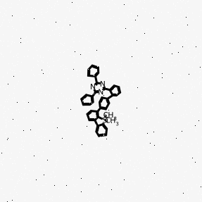 C[Si]1(C)c2ccccc2-c2cccc(-c3ccc(-c4ccccc4-c4nc(-c5ccccc5)nc(-c5ccccc5)n4)cc3)c21